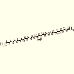 CCCCCCCCCCCCCCCCCCC(CI)CCCCCCCCCCCCCCCCC